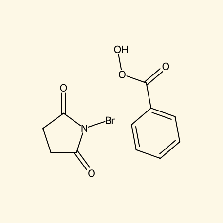 O=C(OO)c1ccccc1.O=C1CCC(=O)N1Br